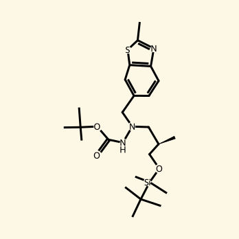 Cc1nc2ccc(CN(C[C@@H](C)CO[Si](C)(C)C(C)(C)C)NC(=O)OC(C)(C)C)cc2s1